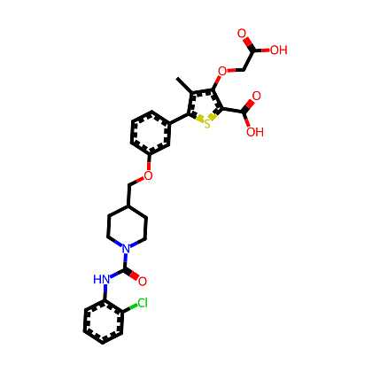 Cc1c(-c2cccc(OCC3CCN(C(=O)Nc4ccccc4Cl)CC3)c2)sc(C(=O)O)c1OCC(=O)O